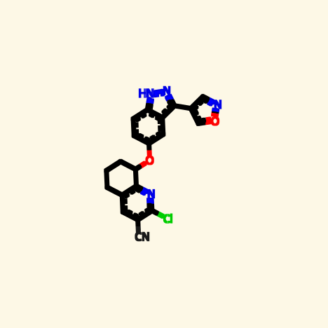 N#Cc1cc2c(nc1Cl)C(Oc1ccc3[nH]nc(-c4cnoc4)c3c1)CCC2